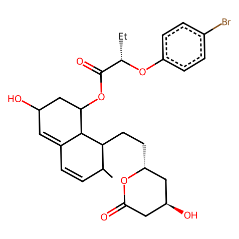 CC[C@H](Oc1ccc(Br)cc1)C(=O)OC1CC(O)C=C2C=CC(C)C(CC[C@@H]3C[C@@H](O)CC(=O)O3)C21